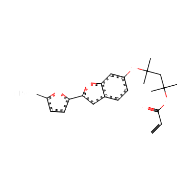 C=CC(=O)OC(C)(C)CC(C)(C)Oc1ccc2cc(-c3ccc(CCCCC)o3)oc2c1